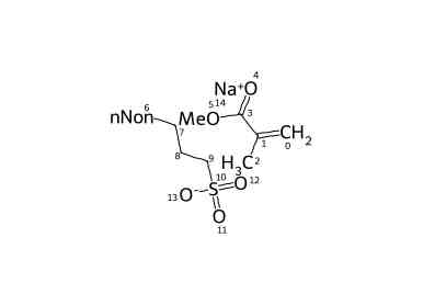 C=C(C)C(=O)OC.CCCCCCCCCCCCS(=O)(=O)[O-].[Na+]